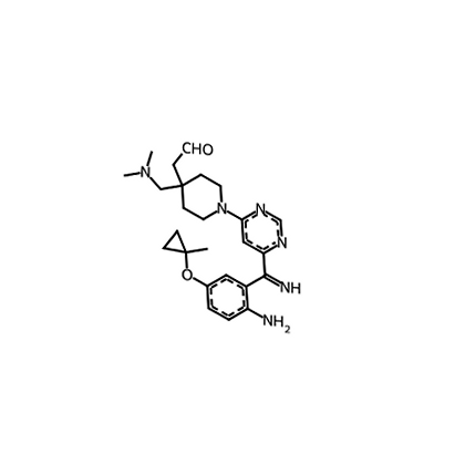 CN(C)CC1(CC=O)CCN(c2cc(C(=N)c3cc(OC4(C)CC4)ccc3N)ncn2)CC1